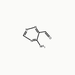 Nc1ncnnc1C=O